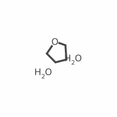 C1CCOC1.O.O